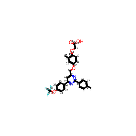 Cc1ccc(-c2nc(COc3ccc(OCC(=O)O)c(C)c3)cc(-c3ccc(OC(F)(F)F)cc3)n2)cc1